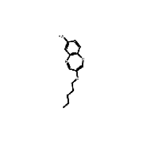 CCCCCOC1=COc2ccc(N)cc2N=C1